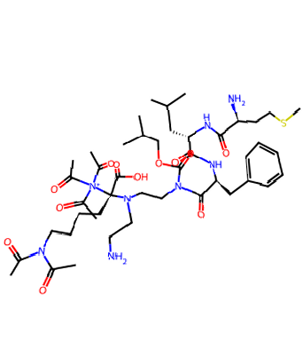 CSCC[C@H](N)C(=O)N[C@@H](CC(C)C)C(=O)N[C@@H](Cc1ccccc1)C(=O)N(CCN(CCN)[C@@](CCCCN(C(C)=O)C(C)=O)(C(=O)O)[N+](C(C)=O)(C(C)=O)C(C)=O)C(=O)OCC(C)C